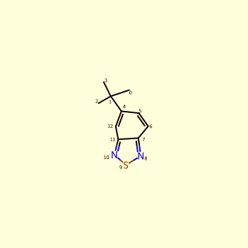 CC(C)(C)c1ccc2nsnc2c1